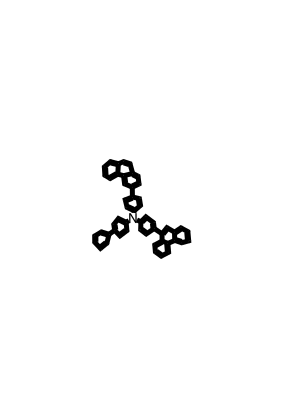 c1ccc(-c2ccc(N(c3ccc(-c4ccc5ccc6ccccc6c5c4)cc3)c3ccc(-c4cc5ccccc5c5ccccc45)cc3)cc2)cc1